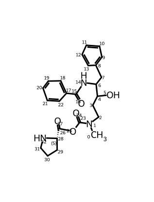 CN(CCC(O)C(Cc1ccccc1)NC(=O)c1ccccc1)C(=O)OC(=O)[C@@H]1CCCN1